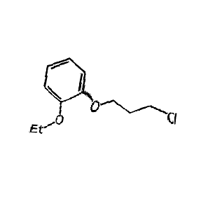 CCOc1ccccc1OCCCCl